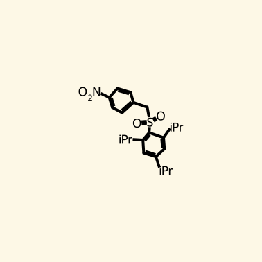 CC(C)c1cc(C(C)C)c(S(=O)(=O)Cc2ccc([N+](=O)[O-])cc2)c(C(C)C)c1